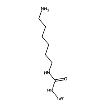 CCCNC(=O)NCCCCCCN